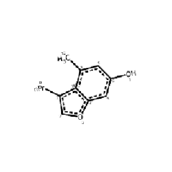 CCCc1coc2cc(O)cc(C)c12